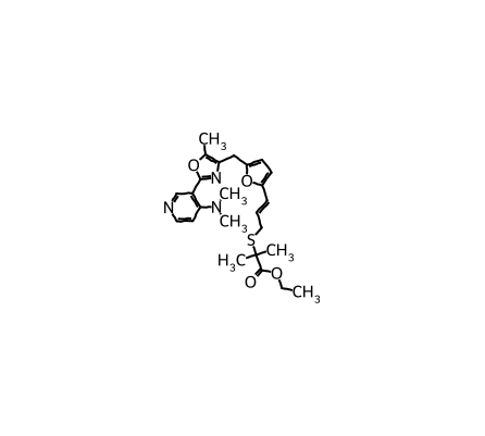 CCOC(=O)C(C)(C)SCC=Cc1ccc(Cc2nc(-c3cnccc3N(C)C)oc2C)o1